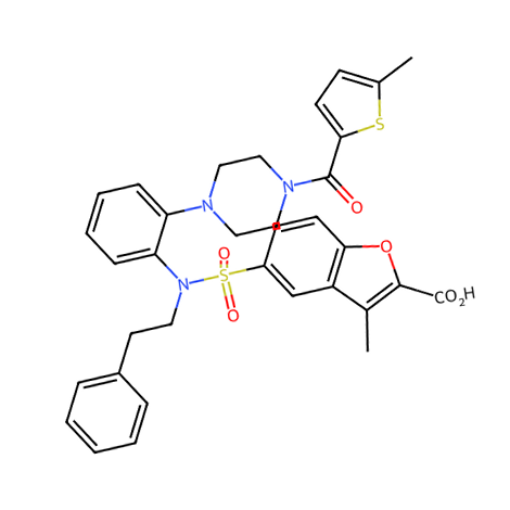 Cc1ccc(C(=O)N2CCN(c3ccccc3N(CCc3ccccc3)S(=O)(=O)c3ccc4oc(C(=O)O)c(C)c4c3)CC2)s1